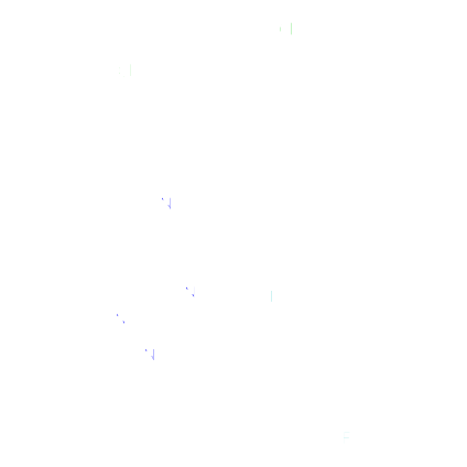 Fc1ccc(-c2nnc3n2CCN(Cc2ccc(Cl)cc2Cl)C3)c(F)c1